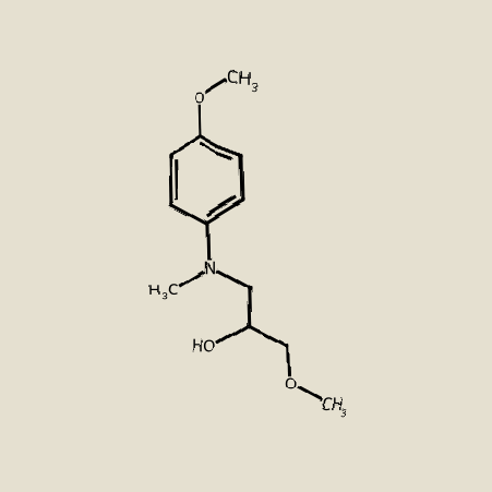 COCC(O)CN(C)c1ccc(OC)cc1